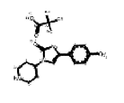 Cc1ccc(C2=CN(C3CCNCC3)C(=O)[N]2)cc1.O=C(O)C(F)(F)F